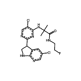 CC(C)(Nc1nc(C2CNc3ncc(Cl)cc32)ncc1Cl)C(=O)NCCF